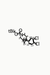 CCC12CN(C(=O)OC(C)(C)C)CCC1(c1ccc(Cl)c(Cl)c1)C2